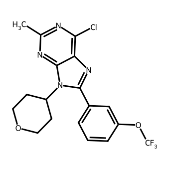 Cc1nc(Cl)c2nc(-c3cccc(OC(F)(F)F)c3)n(C3CCOCC3)c2n1